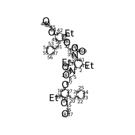 CCc1cc(N2CC(COc3cc(CC)c(OCC4CO4)c(Cc4ccccc4)c3)OC2=O)c(CC)c(N2CC(COc3c(CC)cc(OCC4CO4)cc3Cc3ccccc3)OC2=O)c1